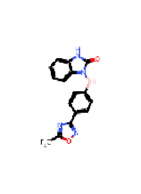 O=c1[nH]c2ccccc2n1Bc1ccc(-c2noc(C(F)(F)F)n2)cc1